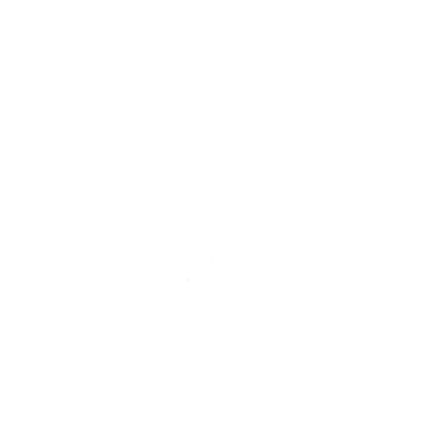 Cc1cc(C)c2c(c1)Cc1cc(C)cc(C)c1OP(C)(=O)O2